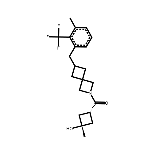 Cc1cccc(CC2CC3(C2)CN(C(=O)[C@H]2C[C@@](C)(O)C2)C3)c1C(F)(F)F